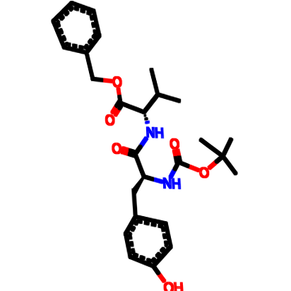 CC(C)[C@H](NC(=O)[C@H](Cc1ccc(O)cc1)NC(=O)OC(C)(C)C)C(=O)OCc1ccccc1